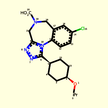 CC(C)O[C@H]1CC[C@@H](c2nnc3n2-c2ccc(Cl)cc2CN(C(=O)O)C3)CC1